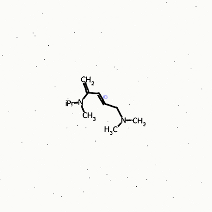 C=C(/C=C/CN(C)C)N(C)C(C)C